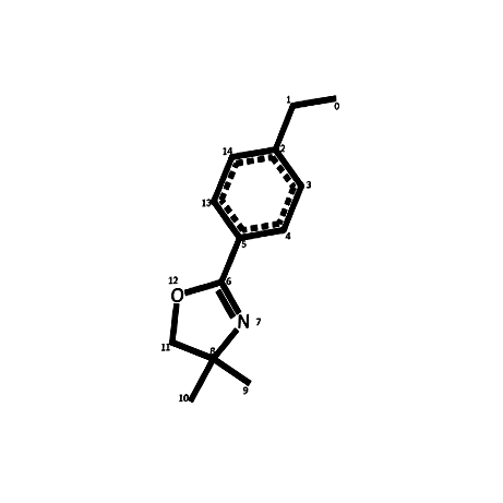 CCc1ccc(C2=NC(C)(C)CO2)cc1